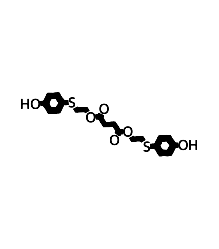 O=C(CCC(=O)OCCSc1ccc(O)cc1)OCCSc1ccc(O)cc1